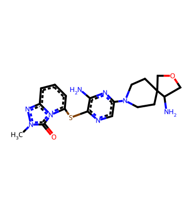 Cn1nc2cccc(Sc3ncc(N4CCC5(CC4)COCC5N)nc3N)n2c1=O